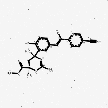 COC(=O)[C@@]1(C)C[C@](C)(c2cc(/C=C(\F)c3ccc(C#N)cn3)ccc2F)N=C(N)S1